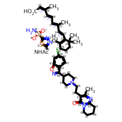 CC(=O)Nc1nnc(S(N)(=O)=O)s1.CC1=C(/C=C/C(C)=C/C=C/C(C)=C\C(=O)O)C(C)(C)CCC1.Cc1nc2n(c(=O)c1CCN1CCC(c3noc4cc(F)ccc34)CC1)CCCC2